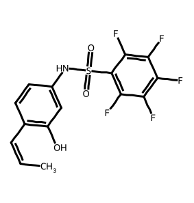 C/C=C\c1ccc(NS(=O)(=O)c2c(F)c(F)c(F)c(F)c2F)cc1O